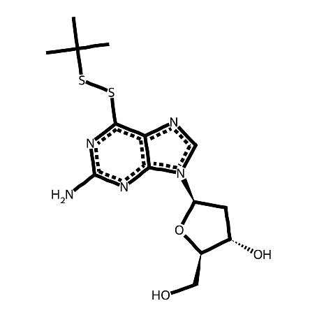 CC(C)(C)SSc1nc(N)nc2c1ncn2[C@H]1C[C@H](O)[C@@H](CO)O1